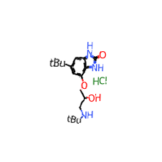 CC(C)(C)NCC(O)COc1cc(C(C)(C)C)cc2[nH]c(=O)[nH]c12.Cl